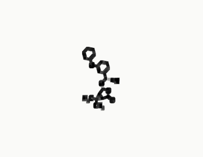 CC1(C)C2C(=O)O[C@@H](O[C@@H](C#N)c3cccc(Oc4ccccc4)c3)C21